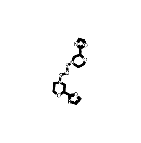 c1coc(C2CN(SOSN3CCOC(c4ncco4)C3)CCO2)n1